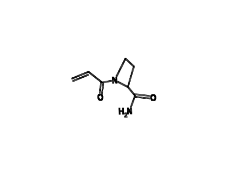 C=CC(=O)N1CCC1C(N)=O